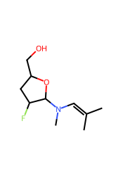 CC(C)=CN(C)C1OC(CO)CC1F